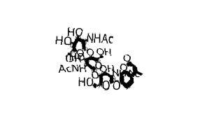 CC(=O)N[C@H]1[C@H](Oc2ccc3c(C)cc(=O)oc3c2)O[C@H](CO)[C@@H](O[C@@H]2O[C@H](CO)[C@@H](O[C@@H]3O[C@H](CO)[C@@H](O)[C@H](O)[C@H]3NC(C)=O)[C@H](O)[C@H]2NC(C)=O)[C@@H]1O